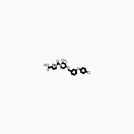 C[C@@H]1C[C@@H](OCc2cccc(Oc3ccc(Cl)cc3)c2)CCN1C(=O)n1ccc(C(=O)O)n1